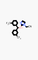 N#CCn1ccnc1BC(c1cccc(C(F)(F)F)c1)c1cccc(C(F)(F)F)c1